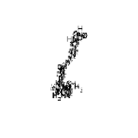 CC(C)n1nc(-c2noc(C3CC3)c2-c2ncc(N3CC4(CN(C(=O)CCCCCCCN5CCC(c6ccc(NC7CCC(=O)NC7=O)cc6)CC5)C4)C3)cn2)c2c(N)ncnc21